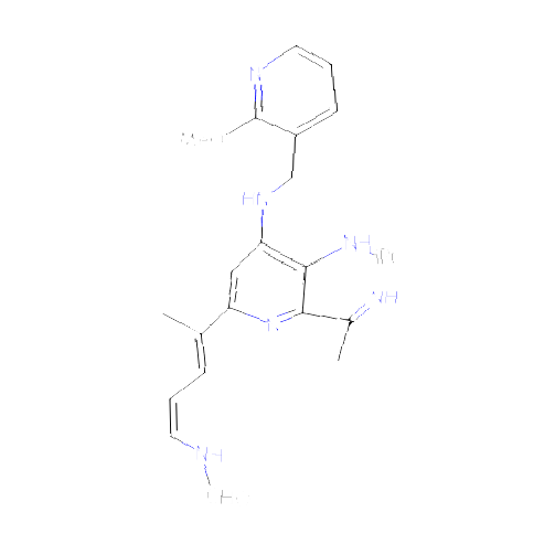 COc1ncccc1CNc1cc(/C(C)=C/C=C\NC=O)nc(C(C)=N)c1NC(C)C